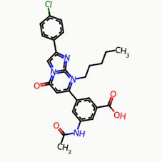 CCCCCn1c(-c2cc(NC(C)=O)cc(C(=O)O)c2)cc(=O)n2cc(-c3ccc(Cl)cc3)nc12